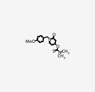 COc1ccc(Cn2ccc(OC(=S)N(C)C)cc2=O)cc1